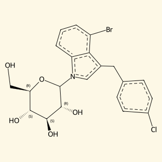 OC[C@H]1OC(n2cc(Cc3ccc(Cl)cc3)c3c(Br)cccc32)[C@H](O)[C@@H](O)[C@@H]1O